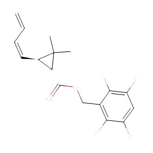 C=C/C=C\[C@@H]1[C@@H](C(=O)OCc2c(F)c(F)cc(F)c2F)C1(C)C